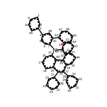 c1ccc(-c2ccc(N(c3ccccc3)c3cccc4c(-c5ccccc5)c(-c5ccccc5)c5ccccc5c34)c(-c3ccccc3)c2)cc1